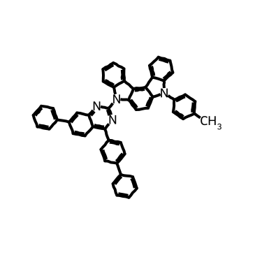 Cc1ccc(-n2c3ccccc3c3c4c5ccccc5n(-c5nc(-c6ccc(-c7ccccc7)cc6)c6ccc(-c7ccccc7)cc6n5)c4ccc32)cc1